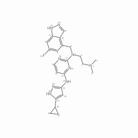 CN(C)CCN(Cc1cc(F)cc2[nH]ncc12)c1nccc(Nc2cc(C3CC3)[nH]n2)n1